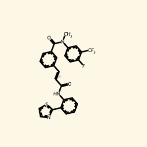 CN(C(=O)c1cccc(/C=C/C(=O)Nc2ccccc2-c2nccs2)c1)c1ccc(F)c(C(F)(F)F)c1